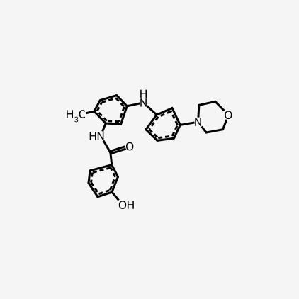 Cc1ccc(Nc2cccc(N3CCOCC3)c2)cc1NC(=O)c1cccc(O)c1